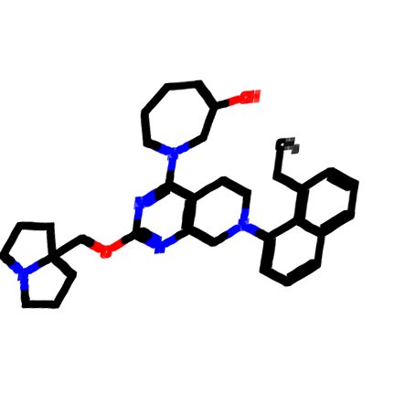 CCc1cccc2cccc(N3CCc4c(nc(OCC56CCCN5CCC6)nc4N4CCCCC(O)C4)C3)c12